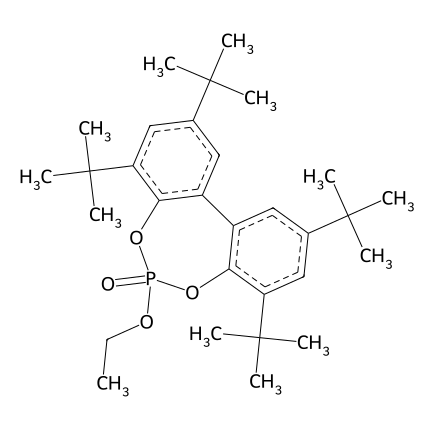 CCOP1(=O)Oc2c(cc(C(C)(C)C)cc2C(C)(C)C)-c2cc(C(C)(C)C)cc(C(C)(C)C)c2O1